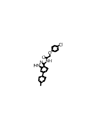 Cc1ccc(-c2ccc3c(NC(=O)COc4ccc(Cl)cc4)n[nH]c3c2)cc1